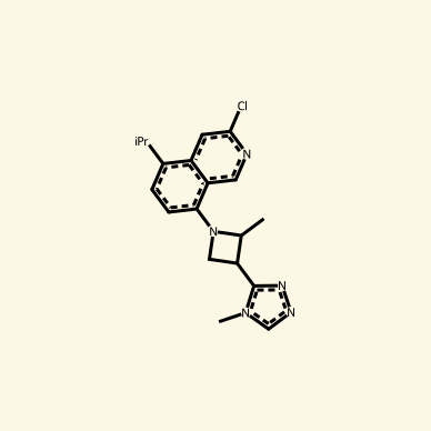 CC(C)c1ccc(N2CC(c3nncn3C)C2C)c2cnc(Cl)cc12